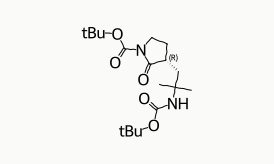 CC(C)(C[C@H]1CCN(C(=O)OC(C)(C)C)C1=O)NC(=O)OC(C)(C)C